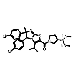 CNN(NC)[C@@H]1CCN(C(=O)C2=C(C(C)C)N3C(=NC(C)(c4ccc(Cl)cc4)C3c3ccc(Cl)cc3)S2)C1